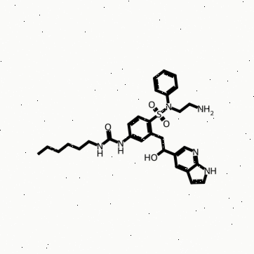 CCCCCCNC(=O)Nc1ccc(S(=O)(=O)N(CCN)c2ccccc2)c(CC(O)c2cnc3[nH]ccc3c2)c1